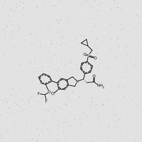 NC(=O)C[C@@H](c1ccc(S(=O)(=O)CC2CC2)cc1)N1Cc2cc(Cl)c(-c3ccccc3OC(F)F)cc2C1